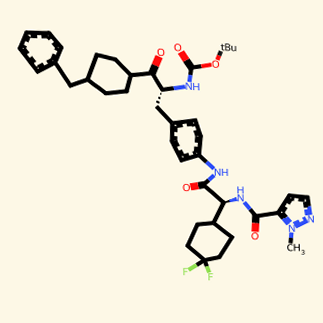 Cn1nccc1C(=O)N[C@H](C(=O)Nc1ccc(C[C@@H](NC(=O)OC(C)(C)C)C(=O)C2CCC(Cc3ccccc3)CC2)cc1)C1CCC(F)(F)CC1